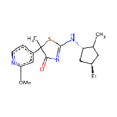 CC[C@@H]1CC(C)[C@@H](NC2=NC(=O)C(C)(c3ccnc(OC)c3)S2)C1